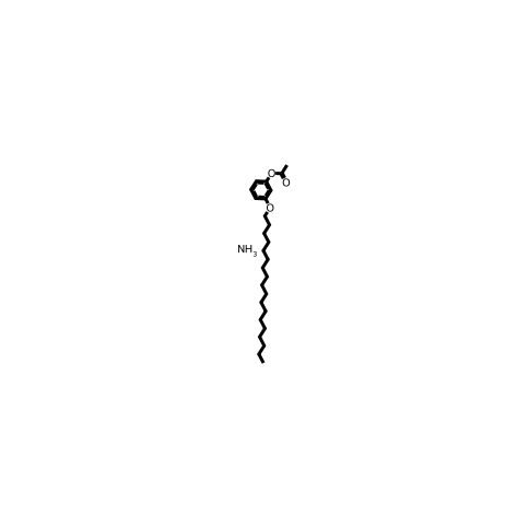 CCCCCCCCCCCCCCCCCCOc1cccc(OC(C)=O)c1.N